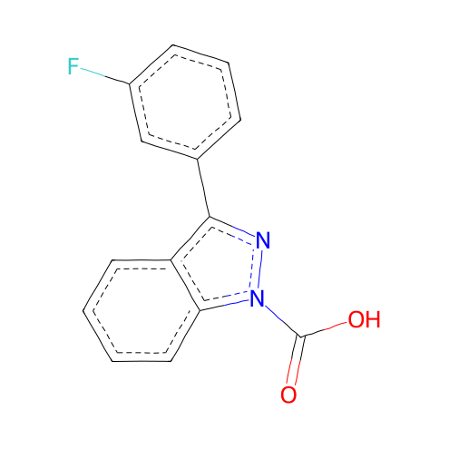 O=C(O)n1nc(-c2cccc(F)c2)c2ccccc21